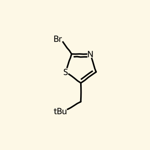 CC(C)(C)Cc1cnc(Br)s1